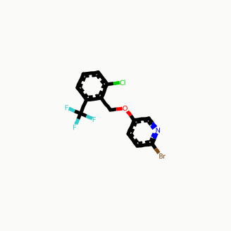 FC(F)(F)c1cccc(Cl)c1COc1ccc(Br)nc1